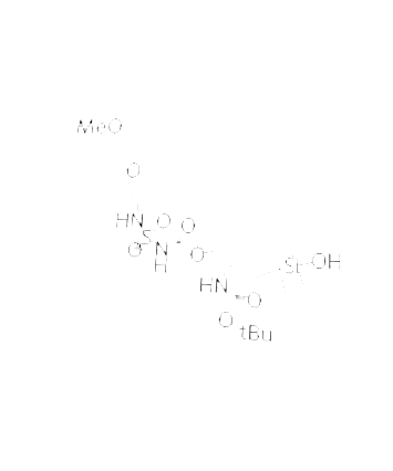 COCCOCCNS(=O)(=O)NC(=O)OC[C@H](CCC(C)(C)[Si](C)(C)O)NC(=O)OC(C)(C)C